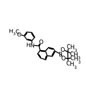 COc1cccc(NC(=O)c2cccc3cc(B4OC(C)(C)C(C)(C)O4)ccc23)c1